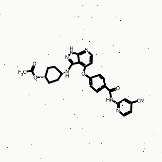 N#Cc1ccnc(NC(=O)c2ccc(Oc3ccnc4[nH]nc(N[C@H]5CC[C@H](OC(=O)C(F)(F)F)CC5)c34)cc2)c1